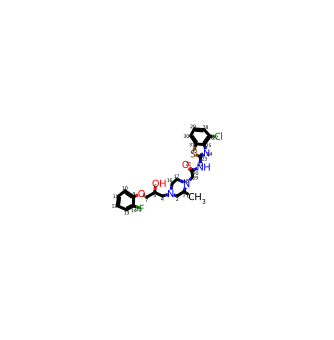 CC1CN(CC(O)COc2ccccc2F)CCN1CC(=O)Nc1nc2c(Cl)cccc2s1